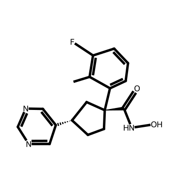 Cc1c(F)cccc1[C@]1(C(=O)NO)CC[C@H](c2cncnc2)C1